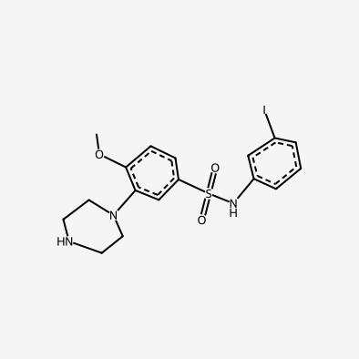 COc1ccc(S(=O)(=O)Nc2cccc(I)c2)cc1N1CCNCC1